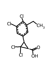 CCc1cc(C2[C@@H](C(=O)O)C2(Cl)Cl)cc(Cl)c1Cl